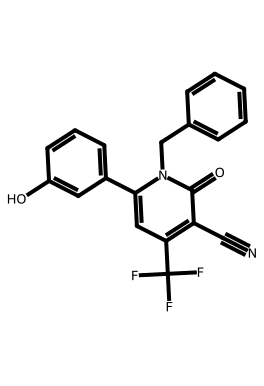 N#Cc1c(C(F)(F)F)cc(-c2cccc(O)c2)n(Cc2ccccc2)c1=O